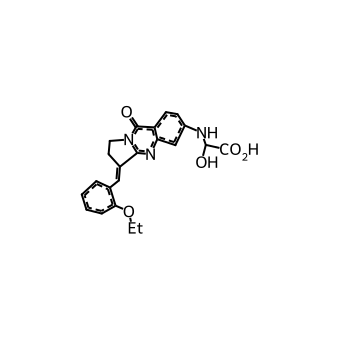 CCOc1ccccc1C=C1CCn2c1nc1cc(NC(O)C(=O)O)ccc1c2=O